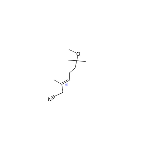 COC(C)(C)CC/C=C(\C)CC#N